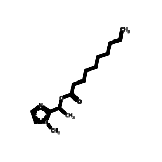 CCCCCCCCCC(=O)OC(C)c1nccn1C